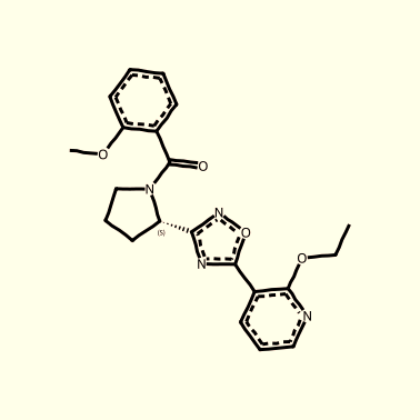 CCOc1ncccc1-c1nc([C@@H]2CCCN2C(=O)c2ccccc2OC)no1